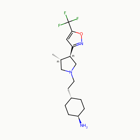 C[C@H]1CN(CC[C@H]2CC[C@H](N)CC2)C[C@@H]1c1cc(C(F)(F)F)on1